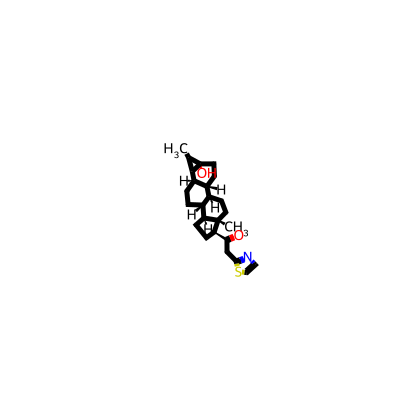 CC1C2[C@@H]3CC[C@@H]4[C@H](CC[C@]5(C)[C@@H](C(=O)Cc6nccs6)CC[C@@H]45)[C@H]3CC[C@]12O